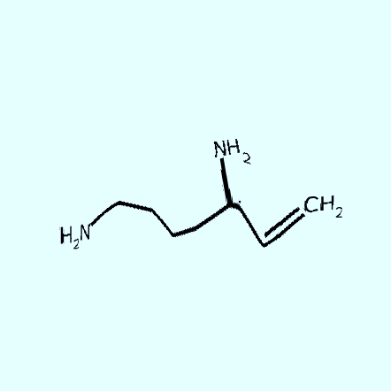 C=C[C](N)CCN